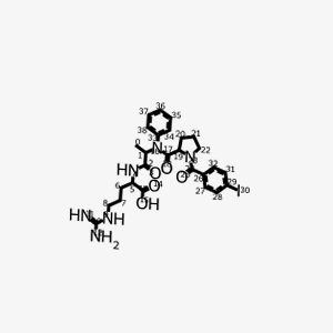 CC(C(=O)NC(CCCNC(=N)N)C(=O)O)N(C(=O)C1CCCN1C(=O)c1ccc(I)cc1)c1ccccc1